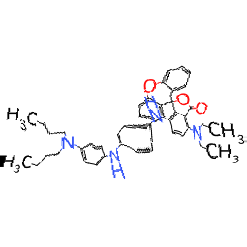 CCCCN(CCCC)c1ccc(Nc2ccc(Nc3ccc(N(CC)CC)c4c3C3(OC4=O)c4ccccc4Oc4ccccc43)cc2)cc1